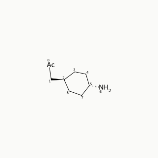 CC(=O)C[C@H]1CC[C@H](N)CC1